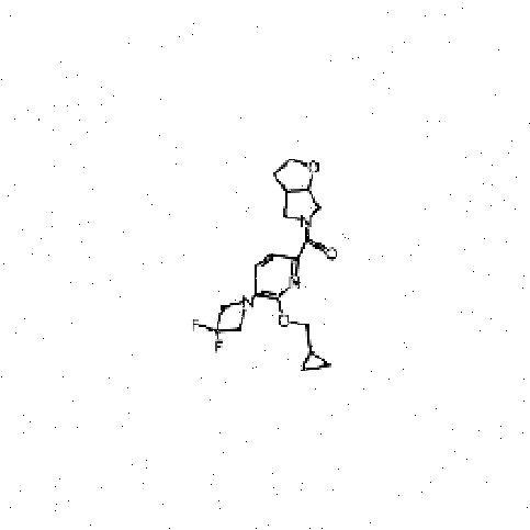 O=C(c1ccc(N2CC(F)(F)C2)c(OCC2CC2)n1)N1CC2CCOC2C1